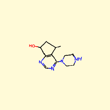 CC1CC(O)c2ncnc(N3CCNCC3)c21